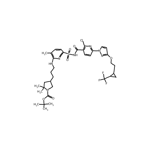 Cc1ccc(S(=O)(=O)NC(=O)c2ccc(-n3ccc(OCCC4CC4C(F)(F)F)n3)nc2Cl)nc1NCCCC1CN(C(=O)OC(C)(C)C)C(C)(C)C1